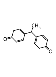 CC(C1=CCC(=O)C=C1)C1=CCC(=O)C=C1